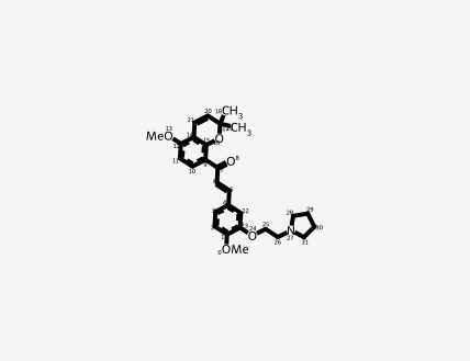 COc1ccc(/C=C/C(=O)c2ccc(OC)c3c2OC(C)(C)C=C3)cc1OCCN1CCCC1